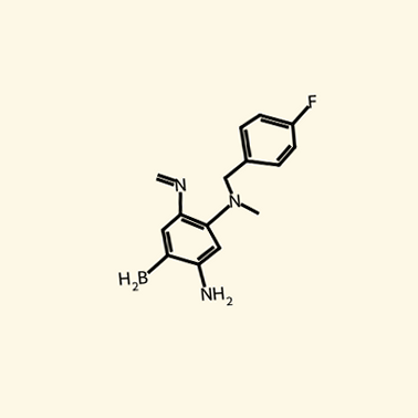 Bc1cc(N=C)c(N(C)Cc2ccc(F)cc2)cc1N